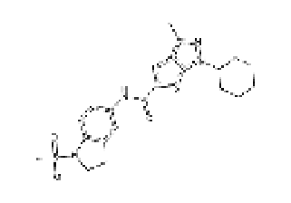 Cc1nn(C2CCCCC2)c2sc(C(=O)Nc3ccc4c(c3)CCN4S(C)(=O)=O)cc12